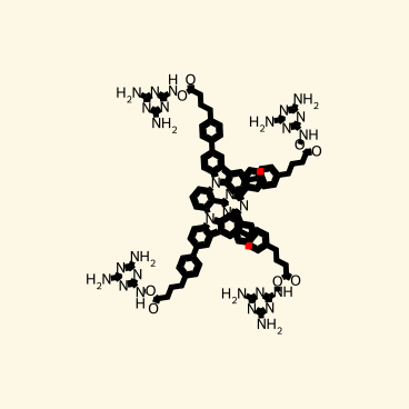 Nc1nc(N)nc(NOC(=O)CCCc2ccc(-c3ccc4c(c3)c3cc(-c5ccc(CCCC(=O)ONc6nc(N)nc(N)n6)cc5)ccc3n4-c3cccc(-n4c5ccc(-c6ccc(CCCC(=O)ONc7nc(N)nc(N)n7)cc6)cc5c5cc(-c6ccc(CCCC(=O)ONc7nc(N)nc(N)n7)cc6)ccc54)c3-c3nc(-c4ccccc4)nc(-c4ccccc4)n3)cc2)n1